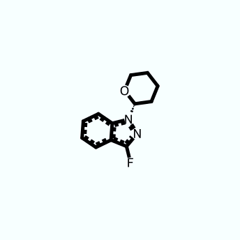 Fc1nn([C@H]2CCCCO2)c2ccccc12